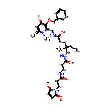 CCC(C)(CCC(=O)NCc1c(OCc2ccccc2)c(=O)cc(C)n1C)CNC(=O)CCNC(=O)CCN1C(=O)C=CC1=O